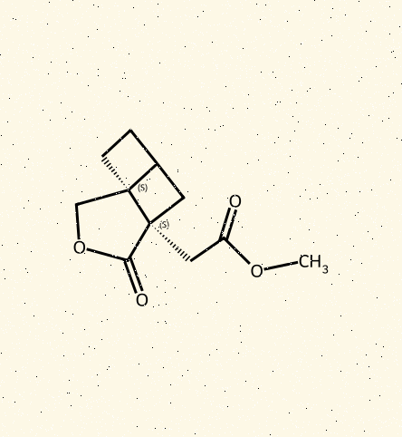 COC(=O)C[C@@]12CC3CC[C@]31COC2=O